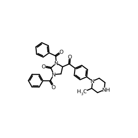 CC1CNCCN1c1ccc(C(=O)C2CN(C(=O)c3ccccc3)C(=O)N2C(=O)c2ccccc2)cc1